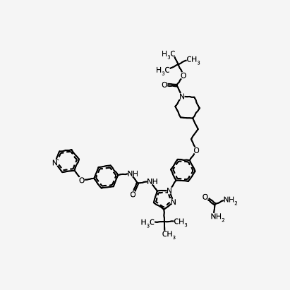 CC(C)(C)OC(=O)N1CCC(CCOc2ccc(-n3nc(C(C)(C)C)cc3NC(=O)Nc3ccc(Oc4cccnc4)cc3)cc2)CC1.NC(N)=O